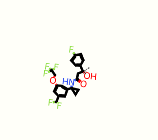 C[C@](O)(CC(=O)NC1(c2cc(OCC(F)(F)F)cc(C(F)F)c2)CC1)c1ccc(F)cc1